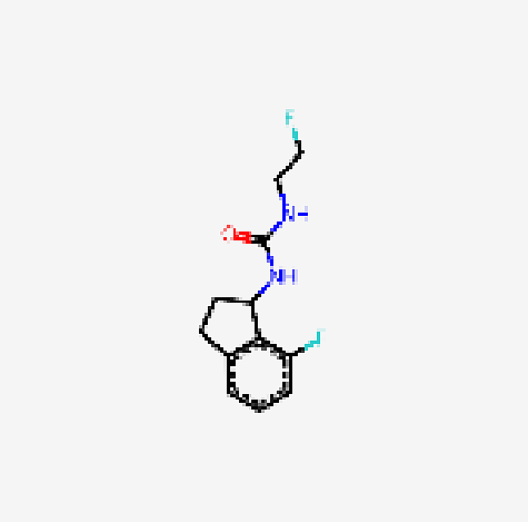 O=C(NCCF)NC1CCc2cccc(F)c21